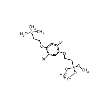 CO[Si](CCOc1cc(Br)c(OCC[Si](C)(C)C)cc1Br)(OC)OC